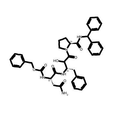 NC(=O)C[C@H](NC(=O)OCc1ccccc1)C(=O)N[C@@H](Cc1ccccc1)C(O)C(=O)N1CCC[C@H]1C(=O)NC(c1ccccc1)c1ccccc1